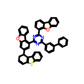 C1=Cc2sc3ccccc3c2C(c2cc(-c3nc(-c4cccc(-c5ccccc5)c4)nc(-c4cccc5c4oc4ccccc45)n3)c3c(c2)oc2ccccc23)C1